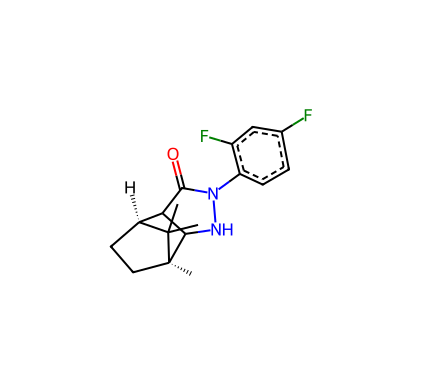 CC1(C)[C@H]2CC[C@]1(C)C1NN(c3ccc(F)cc3F)C(=O)C12